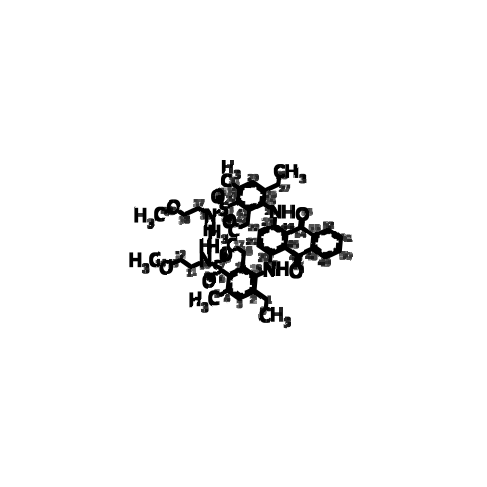 CCc1cc(C)c(S(=O)(=O)NCCOC)c(CC)c1Nc1ccc(Nc2c(CC)cc(C)c(S(=O)(=O)NCCOC)c2CC)c2c1C(=O)c1ccccc1C2=O